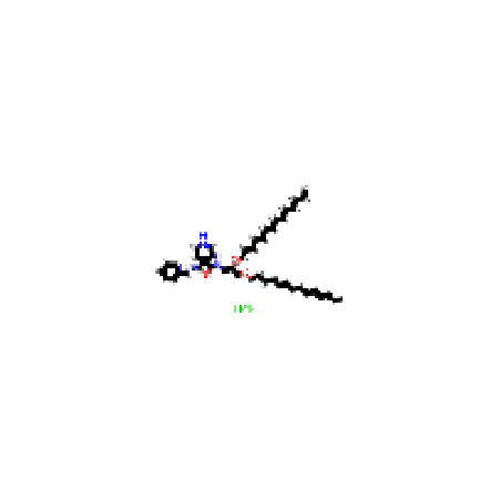 CCCCCCCCCCCCCCOCC(CNC(=O)C1(CNCc2ccccc2)CCNCC1)OCCCCCCCCCCCCCC.Cl